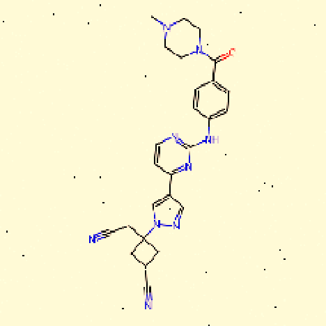 CN1CCN(C(=O)c2ccc(Nc3nccc(-c4cnn(C5(CC#N)CC(C#N)C5)c4)n3)cc2)CC1